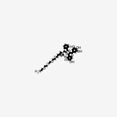 NCCOCCOCCOCCOCCc1cn(CCOC2c3c(O)cc(O)cc3OC(c3cc(O)c(O)c(O)c3)C2OCc2ccccc2)nn1